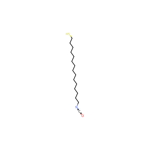 O=C=NCCCCCCCCCCCCCCCS